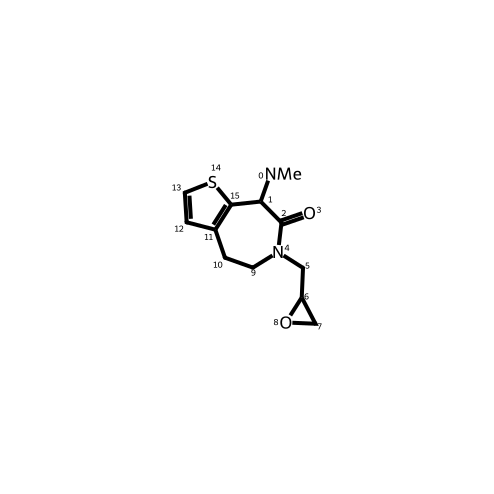 CNC1C(=O)N(CC2CO2)CCc2ccsc21